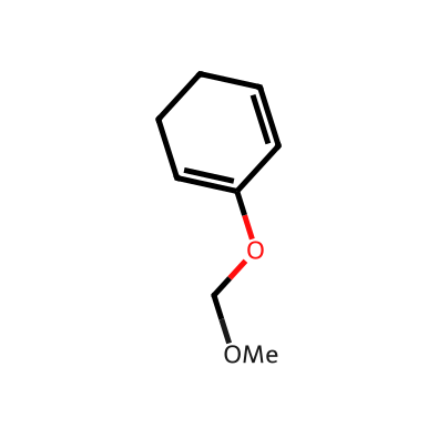 COCOC1=CCCC=C1